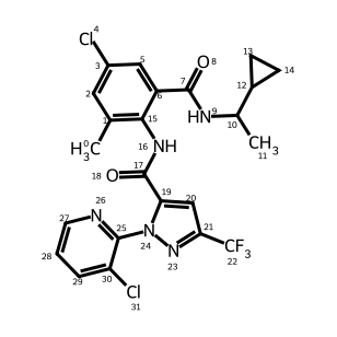 Cc1cc(Cl)cc(C(=O)NC(C)C2CC2)c1NC(=O)c1cc(C(F)(F)F)nn1-c1ncccc1Cl